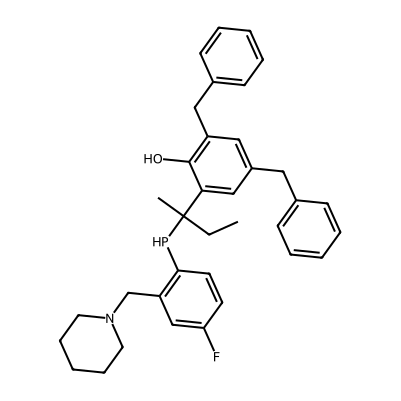 CCC(C)(Pc1ccc(F)cc1CN1CCCCC1)c1cc(Cc2ccccc2)cc(Cc2ccccc2)c1O